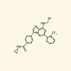 CC(C)CNc1nc(-c2ccccc2C(F)(F)F)cn2c(-c3ccc(C(=O)NC4CC4)cc3)cnc12